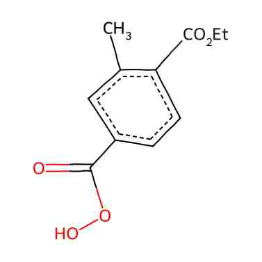 CCOC(=O)c1ccc(C(=O)OO)cc1C